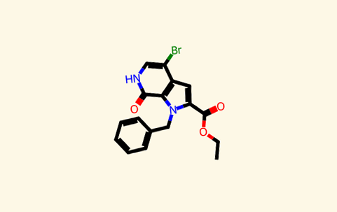 CCOC(=O)c1cc2c(Br)c[nH]c(=O)c2n1Cc1ccccc1